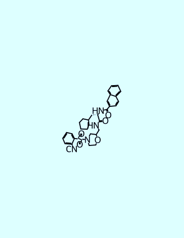 N#Cc1ccccc1S(=O)(=O)N1CCOC(CNC(=O)[C@H](CC2CCCCC2)NC(=O)c2ccc3ccccc3c2)C1